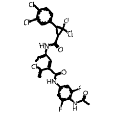 C=C(Cl)/C(=C\C(=C/C)NC(=O)C1C(c2ccc(Cl)c(Cl)c2)C1(Cl)Cl)C(=O)Nc1cc(F)c(NC(C)=O)c(F)c1